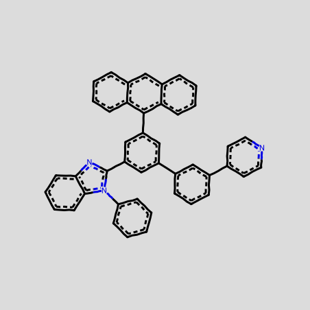 c1ccc(-n2c(-c3cc(-c4cccc(-c5ccncc5)c4)cc(-c4c5ccccc5cc5ccccc45)c3)nc3ccccc32)cc1